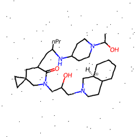 CCCC(CC1CC2(CC2)CN(CC(O)CN2CCC3CCCC[C@@H]3C2)C1=O)NC1CCN(C(C)O)CC1